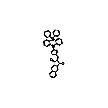 O=C1C(=Cc2ccc(N3c4ccccc4[Si](c4ccccc4)(c4ccccc4)c4ccccc43)s2)C(=O)c2cc3ccccc3cc21